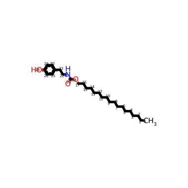 CCCCCCCCCCCCCCCCCCOC(=O)NCCc1ccc(O)cc1